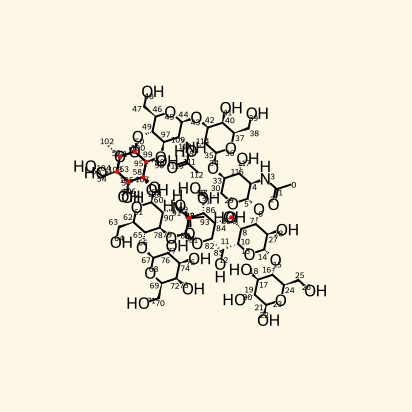 CC(=O)N[C@H]1[C@H](O[C@H]2[C@@H](O)[C@@H](CO)O[C@@H](O[C@H]3[C@H](O)[C@@H](O)[C@H](O)O[C@@H]3CO)[C@@H]2O)O[C@H](CO)[C@@H](O[C@@H]2O[C@H](CO)[C@H](O)[C@H](O[C@@H]3O[C@H](CO)[C@@H](O[C@@H]4O[C@H](CO)[C@H](O)[C@H](O[C@@H]5O[C@H](CO)[C@@H](O[C@@H]6O[C@H](CO)[C@H](O)[C@H](O)[C@H]6O)[C@H](O[C@@H]6O[C@@H](C)[C@@H](O)[C@@H](O)[C@@H]6O)[C@H]5NC(C)=O)[C@H]4O)[C@H](O[C@@H]4O[C@@H](C)[C@@H](O)[C@@H](O)[C@@H]4O)[C@H]3NC(C)=O)[C@H]2O)[C@@H]1O